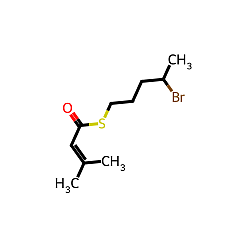 CC(C)=CC(=O)SCCCC(C)Br